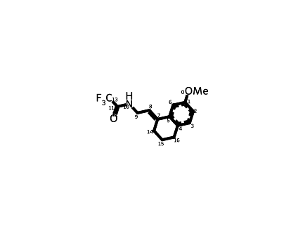 COc1ccc2c(c1)C(=CCNC(=O)C(F)(F)F)CCC2